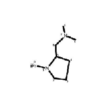 CC(C)N1CCCC1CN(C)C